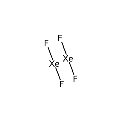 F[Xe]F.F[Xe]F